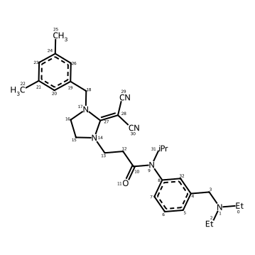 CCN(CC)Cc1cccc(N(C(=O)CCN2CCN(Cc3cc(C)cc(C)c3)C2=C(C#N)C#N)C(C)C)c1